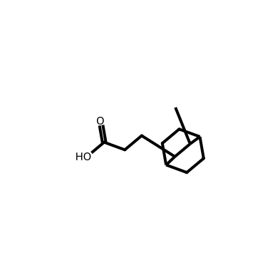 CC1C2CCC(CC2)C1CCC(=O)O